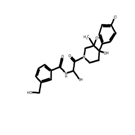 CC(C)C(NC(=O)c1cccc(CO)c1)C(=O)N1CCC(O)(c2ccc(Cl)cc2)C(C)(C)C1